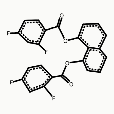 O=C(Oc1cccc2cccc(OC(=O)c3ccc(F)cc3F)c12)c1ccc(F)cc1F